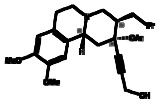 COc1cc2c(cc1OC)[C@H]1C[C@@](C#CCO)(OC(C)=O)[C@H](CC(C)C)CN1CC2